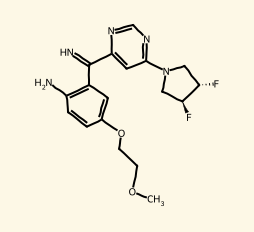 COCCOc1ccc(N)c(C(=N)c2cc(N3C[C@H](F)[C@@H](F)C3)ncn2)c1